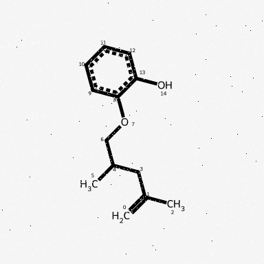 C=C(C)CC(C)COc1ccccc1O